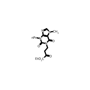 CCCn1c(=O)n(CCC(=O)C(=O)OCC)c(=O)c2c1ncn2C